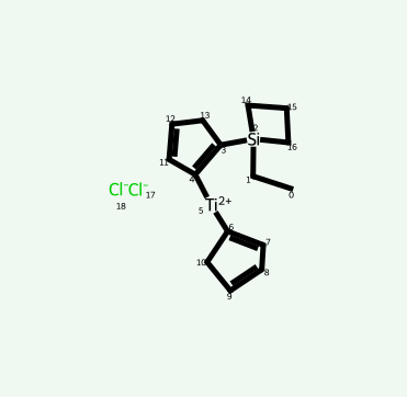 CC[Si]1(C2=[C]([Ti+2][C]3=CC=CC3)C=CC2)CCC1.[Cl-].[Cl-]